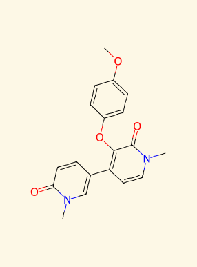 COc1ccc(Oc2c(-c3ccc(=O)n(C)c3)ccn(C)c2=O)cc1